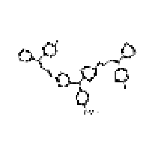 COc1ccc(N(c2ccc(C=CC=C(c3ccccc3)c3ccc(C)cc3)cc2)c2ccc(C=CC=C(c3ccccc3)c3ccc(C)cc3)cc2)cc1